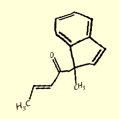 C/C=C/C(=O)C1(C)C=Cc2ccccc21